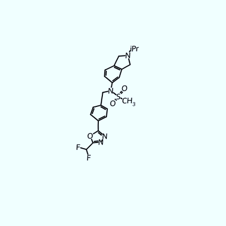 CC(C)N1Cc2ccc(N(Cc3ccc(-c4nnc(C(F)F)o4)cc3)S(C)(=O)=O)cc2C1